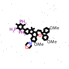 COc1ccc(C2(c3ccc(OC)cc3)C=Cc3c4c(c5cc(N6CCOCC6)c(OC)cc5c3O2)-c2ccc(-c3c(C)c(P)c(C)c(P)c3P)cc2C4(C)C)cc1